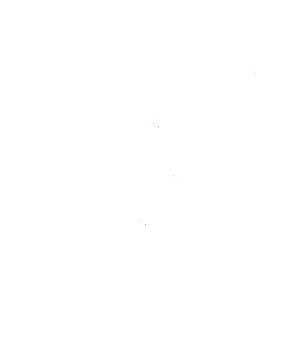 O=C(Nc1ccc2ccccc2c1)Nc1nc2ccc3scnc3c2s1